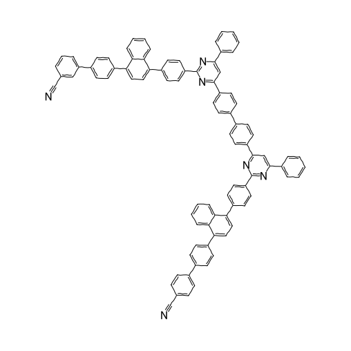 N#Cc1ccc(-c2ccc(-c3ccc(-c4ccc(-c5nc(-c6ccccc6)cc(-c6ccc(-c7ccc(-c8cc(-c9ccccc9)nc(-c9ccc(-c%10ccc(-c%11ccc(-c%12cccc(C#N)c%12)cc%11)c%11ccccc%10%11)cc9)n8)cc7)cc6)n5)cc4)c4ccccc34)cc2)cc1